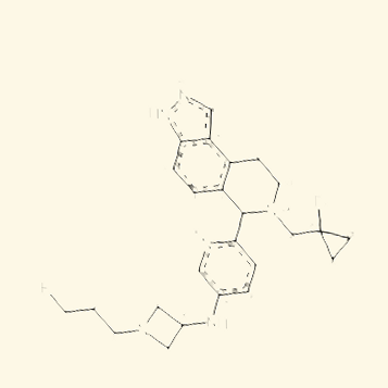 FCCCN1CC(Nc2ccc(C3c4ccc5[nH]ncc5c4CCN3CC3(F)CC3)nc2)C1